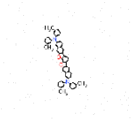 Cc1cccc(N(c2cccc(C)c2)c2ccc3cc4c(cc3c2)oc2c4ccc3c4cc5ccc(N(c6cccc(C)c6)c6cccc(C)c6)cc5cc4oc32)c1